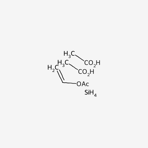 C=COC(C)=O.CC(=O)O.CC(=O)O.[SiH4]